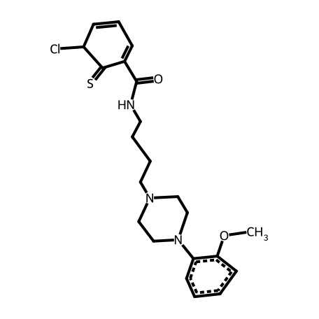 COc1ccccc1N1CCN(CCCCNC(=O)C2=CC=CC(Cl)C2=S)CC1